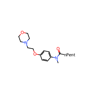 CCCCCC(=O)N(C)c1ccc(OCCN2CCOCC2)cc1